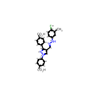 Cc1cc(N/N=C/c2cn(-c3ccc(C(=O)O)cc3)nc2-c2ccc(C(=O)O)cc2)ccc1F